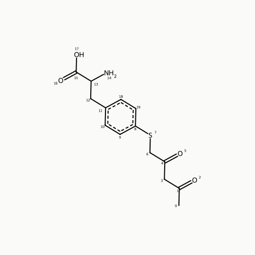 CC(=O)CC(=O)CSc1ccc(CC(N)C(=O)O)cc1